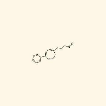 O=NCCCC1=CC=C(c2ccccc2)C=CC1